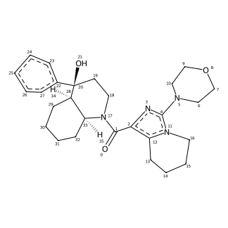 O=C(c1nc(N2CCOCC2)n2c1CCCC2)N1CC[C@@](O)(c2ccccc2)[C@@H]2CCCC[C@@H]21